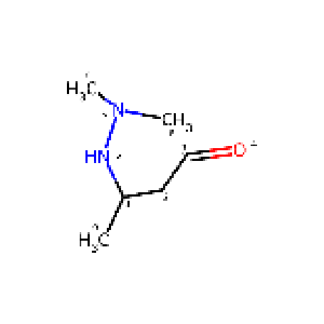 CC(C[C]=O)NN(C)C